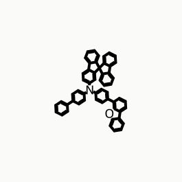 c1ccc(-c2ccc(N(c3ccc(-c4cccc5c4oc4ccccc45)cc3)c3ccc4c(c3)C3(c5ccccc5-c5ccccc53)c3ccccc3-4)cc2)cc1